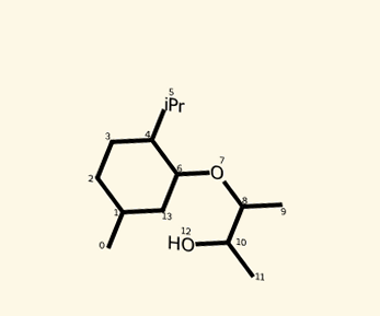 CC1CCC(C(C)C)C(OC(C)C(C)O)C1